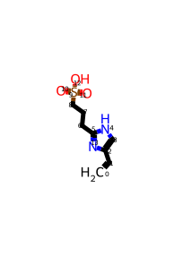 C=Cc1c[nH]c(CCCS(=O)(=O)O)n1